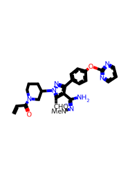 C=CC(=O)N1CCCC(n2nc(-c3ccc(Oc4ncccn4)cc3)c(/C(N)=N\NC)c2C=O)C1